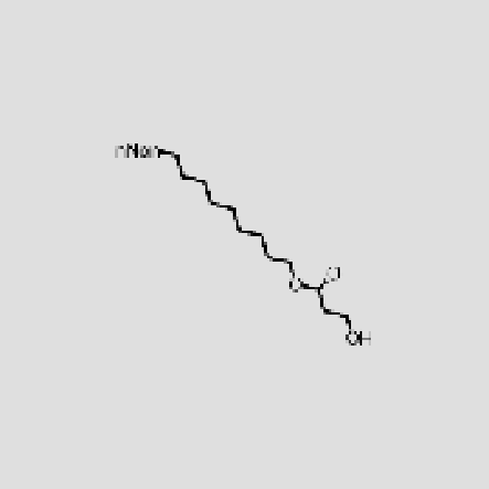 CCCCCCCCCCCCCCCCCCOC([O])CCO